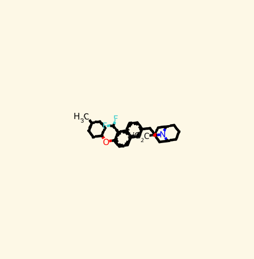 CC1CCC(Oc2ccc3cc(CCN4C5CCCC4CC(C(=O)O)C5)ccc3c2C(F)F)CC1